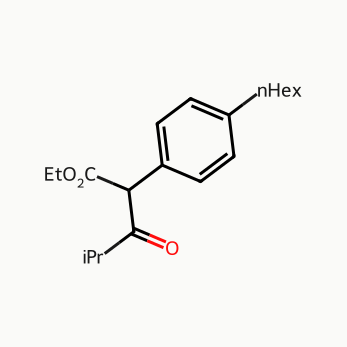 CCCCCCc1ccc(C(C(=O)OCC)C(=O)C(C)C)cc1